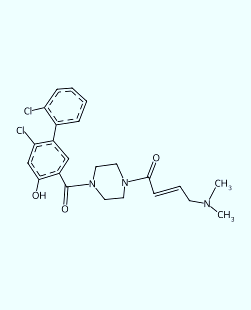 CN(C)CC=CC(=O)N1CCN(C(=O)c2cc(-c3ccccc3Cl)c(Cl)cc2O)CC1